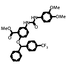 COC(=O)c1cc(NC(=O)Nc2ccc(OC)c(OC)c2)ccc1OC(c1ccccc1)c1ccc(C(F)(F)F)cc1